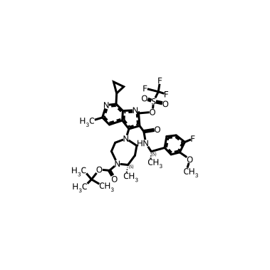 COc1cc([C@H](C)NC(=O)c2c(OS(=O)(=O)C(F)(F)F)nc3c(C4CC4)nc(C)cc3c2N2CC[C@H](C)N(C(=O)OC(C)(C)C)CC2)ccc1F